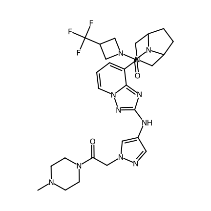 CN1CCN(C(=O)Cn2cc(Nc3nc4c(N5CC6CCC(C5)N6C(=O)N5CC(C(F)(F)F)C5)cccn4n3)cn2)CC1